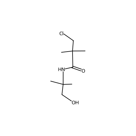 CC(C)(CO)NC(=O)C(C)(C)CCl